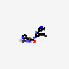 Cc1cc(-c2ncc(CNC(=O)c3nnc(-c4cccnc4C)s3)cc2C)ccn1